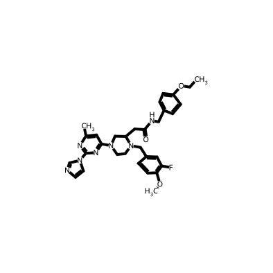 CCOc1ccc(CNC(=O)CC2CN(c3cc(C)nc(-n4ccnc4)n3)CCN2Cc2ccc(OC)c(F)c2)cc1